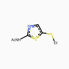 CCSc1cnc(NC(C)=O)s1